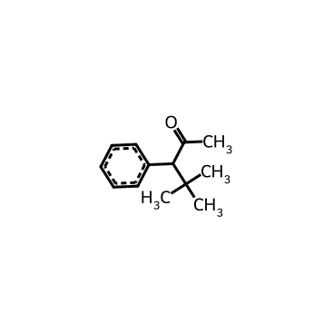 CC(=O)C(c1ccccc1)C(C)(C)C